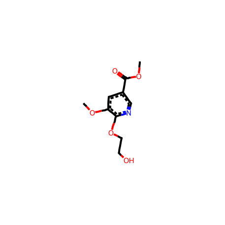 COC(=O)c1cnc(OCCO)c(OC)c1